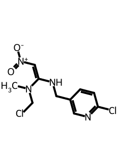 CN(CCl)C(=C[N+](=O)[O-])NCc1ccc(Cl)nc1